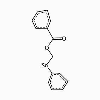 O=C(O[CH2][Sn][c]1ccccc1)c1ccccc1